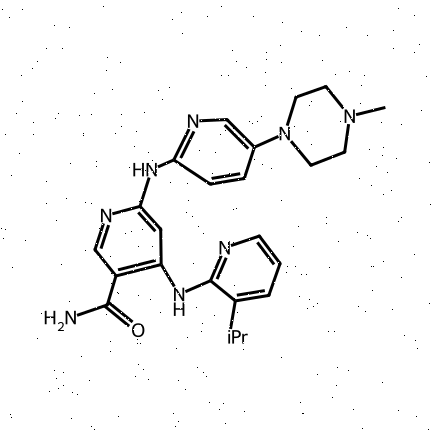 CC(C)c1cccnc1Nc1cc(Nc2ccc(N3CCN(C)CC3)cn2)ncc1C(N)=O